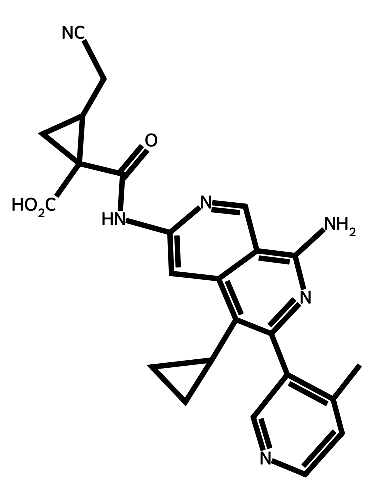 Cc1ccncc1-c1nc(N)c2cnc(NC(=O)C3(C(=O)O)CC3CC#N)cc2c1C1CC1